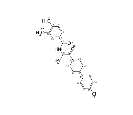 Cc1ccc(C(=O)NC(C(=O)N2CCC(c3ccc(Cl)cc3)CC2)C(C)C)cc1C